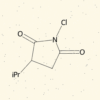 CC(C)C1CC(=O)N(Cl)C1=O